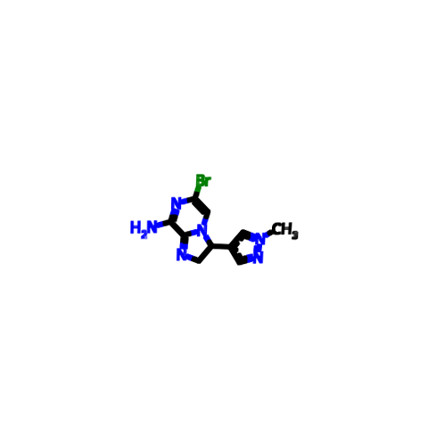 Cn1cc(C2CN=C3C(N)=NC(Br)=CN32)cn1